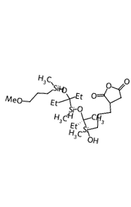 CCC(CC)(O[SiH](C)CCCOC)[SiH](C)O[C@](C)(CC)[Si](C)(O)CCCC1CC(=O)OC1=O